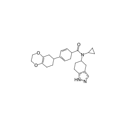 O=C(C1C=CC(C2CCC3=C(C2)OCCO3)=CC1)N(C1CC1)C1CCc2[nH]ncc2C1